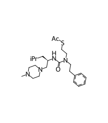 CC(=O)SCCN(CCc1ccccc1)C(=O)N[C@H](CC(C)C)CN1CCN(C)CC1